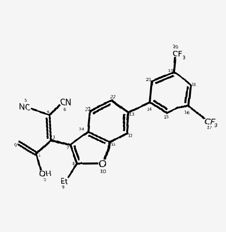 C=C(O)C(=C(C#N)C#N)c1c(CC)oc2cc(-c3cc(C(F)(F)F)cc(C(F)(F)F)c3)ccc12